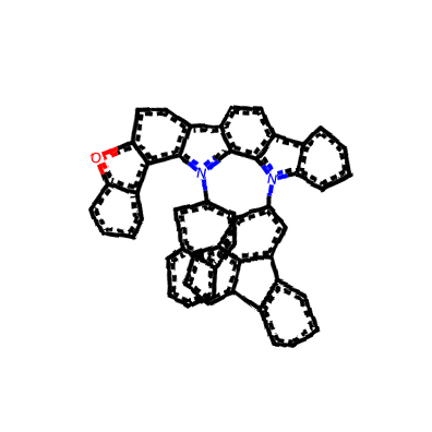 c1ccc2c(c1)-c1cccc3cc(-n4c5ccccc5c5ccc6c7ccc8oc9ccccc9c8c7n(-c7ccc8ccccc8c7)c6c54)cc-2c13